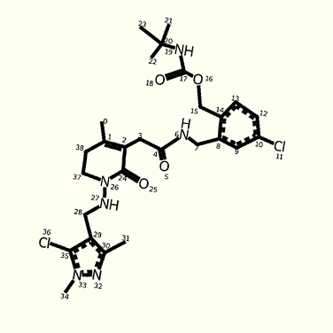 CC1=C(CC(=O)NCc2cc(Cl)ccc2COC(=O)NC(C)(C)C)C(=O)N(NCc2c(C)nn(C)c2Cl)CC1